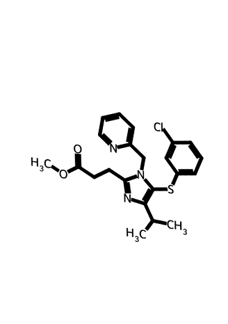 COC(=O)CCc1nc(C(C)C)c(Sc2cccc(Cl)c2)n1Cc1ccccn1